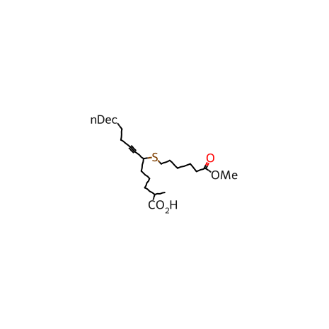 CCCCCCCCCCCCC#CC(CCCC(C)C(=O)O)SCCCCCC(=O)OC